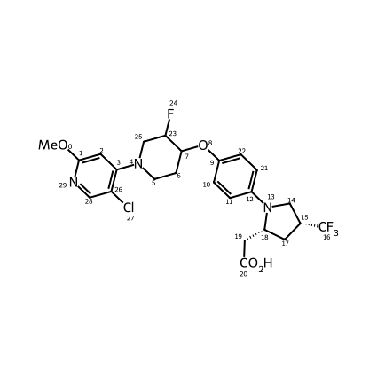 COc1cc(N2CCC(Oc3ccc(N4C[C@H](C(F)(F)F)C[C@@H]4CC(=O)O)cc3)C(F)C2)c(Cl)cn1